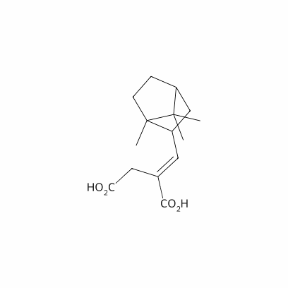 CC1(C)C2CCC1(C)C(C=C(CC(=O)O)C(=O)O)C2